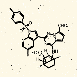 CCOC(=O)[C@H]1[C@H]2CC[C@H](CC2)[C@@H]1Nc1nc(-c2cn(S(=O)(=O)c3ccc(C)cc3)c3ncc(F)cc23)nn2c(C=O)ccc12